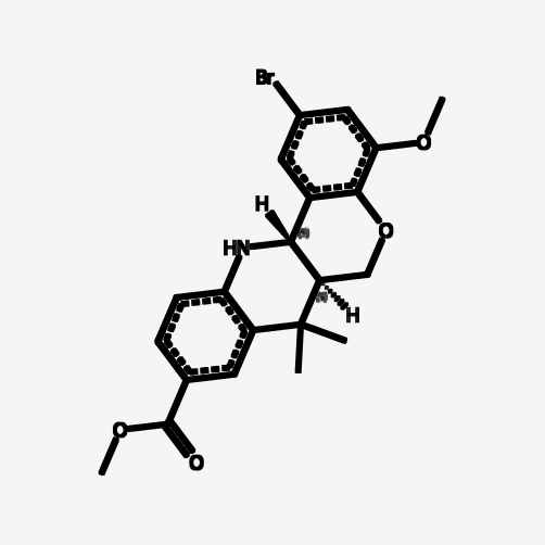 COC(=O)c1ccc2c(c1)C(C)(C)[C@@H]1COc3c(OC)cc(Br)cc3[C@H]1N2